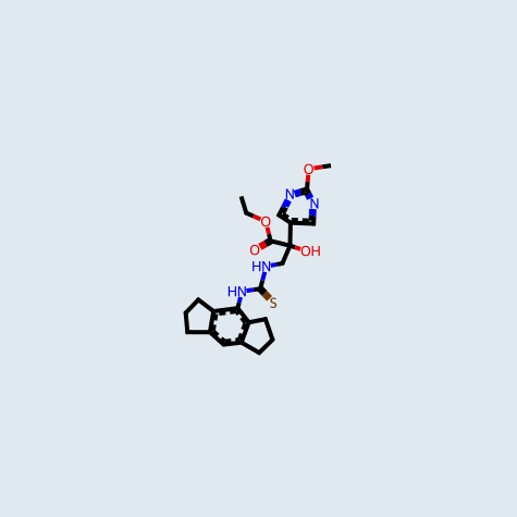 CCOC(=O)C(O)(CNC(=S)Nc1c2c(cc3c1CCC3)CCC2)c1cnc(OC)nc1